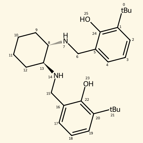 CC(C)(C)c1cccc(CN[C@H]2CCCC[C@@H]2NCc2cccc(C(C)(C)C)c2O)c1O